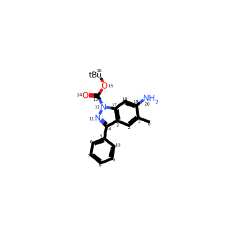 Cc1cc2c(-c3ccccc3)nn(C(=O)OC(C)(C)C)c2cc1N